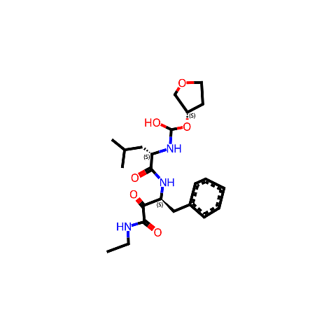 CCNC(=O)C(=O)[C@H](Cc1ccccc1)NC(=O)[C@H](CC(C)C)NC(O)O[C@H]1CCOC1